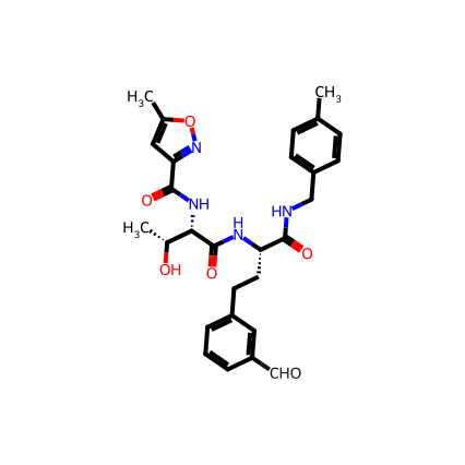 Cc1ccc(CNC(=O)[C@H](CCc2cccc(C=O)c2)NC(=O)[C@@H](NC(=O)c2cc(C)on2)[C@@H](C)O)cc1